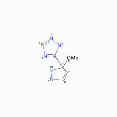 COC1(C2=NN=N[N]2)C=CN=N1